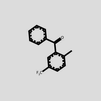 Cc1ccc(C(F)(F)F)cc1C(=O)c1ccccc1